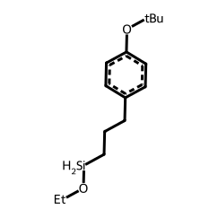 CCO[SiH2]CCCc1ccc(OC(C)(C)C)cc1